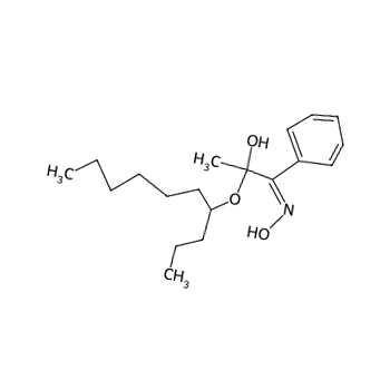 CCCCCCC(CCC)OC(C)(O)C(=NO)c1ccccc1